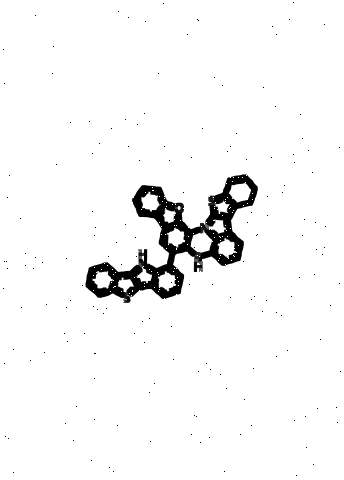 B1c2c(-c3cccc4c3[nH]c3c5ccccc5sc43)cc3c(oc4ccccc43)c2-n2c3sc4c(c3c3cccc1c32)CCC=C4